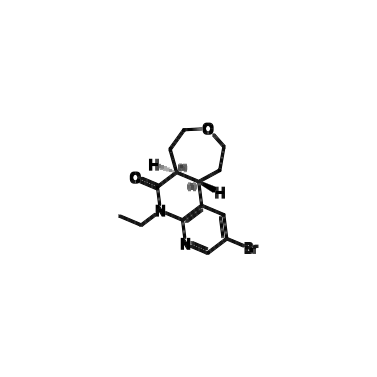 CCN1C(=O)[C@H]2CCOCC[C@@H]2c2cc(Br)cnc21